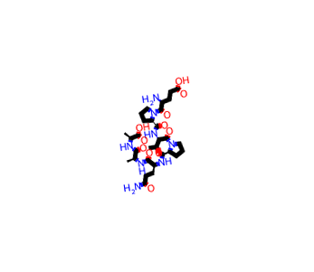 CC(C)[C@H](NC(=O)[C@@H]1CCCN1C(=O)[C@@H](N)CCC(=O)O)C(=O)N1CCC[C@H]1C(=O)N[C@@H](CCC(N)=O)C(=O)N[C@@H](C)C(=O)N[C@@H](C)C(=O)O